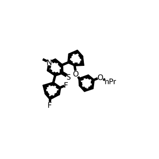 CCCOc1cccc(Oc2ccccc2-c2cn(C)cc(-c3ccc(F)cc3F)c2=S)c1